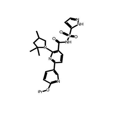 CC1CN(c2nc(-c3ccc(OC(C)C)nc3)ccc2C(=O)NS(=O)(=O)c2ccn[nH]2)C(C)(C)C1